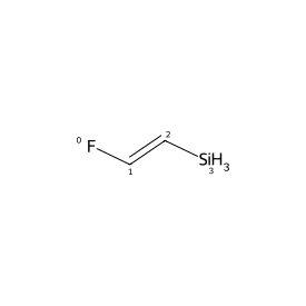 FC=C[SiH3]